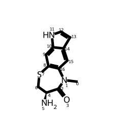 CN1C(=O)[C@@H](N)CSc2cc3[nH]ccc3cc21